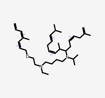 C=C/C=C(C)\C=C/COCCN(CC)CCCCN(C(C)C)C(C/C=C\CC(=C)C)C(C)/C=C\C/C=C/C(C)C